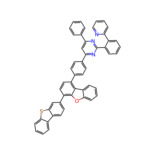 c1ccc(-c2cc(-c3ccc(-c4ccc(-c5ccc6c(c5)sc5ccccc56)c5oc6ccccc6c45)cc3)nc(-c3ccccc3-c3ccccn3)n2)cc1